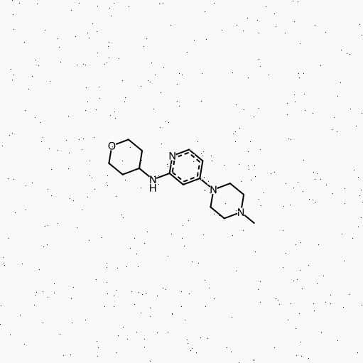 CN1CCN(c2ccnc(NC3CCOCC3)c2)CC1